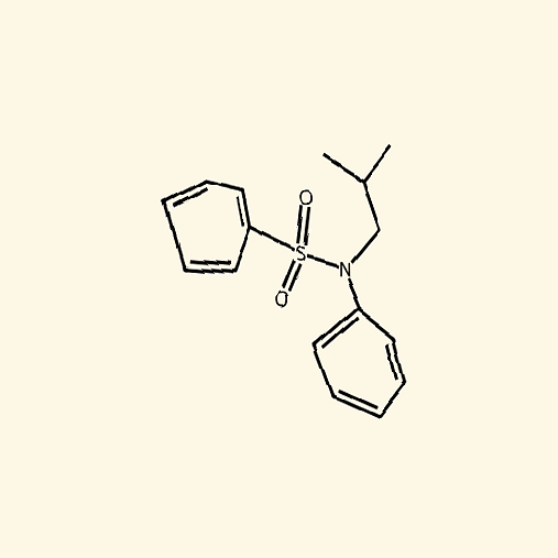 CC(C)CN(c1ccccc1)S(=O)(=O)c1ccccc1